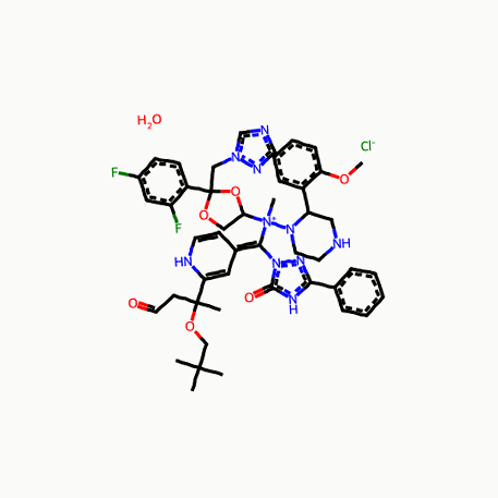 COc1ccccc1C1CNCCN1[N+](C)(C(=C1C=CNC(C(C)(CC=O)OCC(C)(C)C)=C1)n1nc(-c2ccccc2)[nH]c1=O)C1COC(Cn2cncn2)(c2ccc(F)cc2F)O1.O.[Cl-]